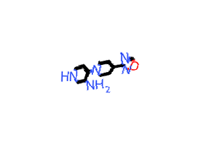 NC1CNCCC1N1CCC(c2ncon2)CC1